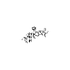 CCNC(=O)Nc1nc2cc(-c3cc(C)c(CC)c(=O)[nH]3)cc(-n3cccn3)c2[nH]1